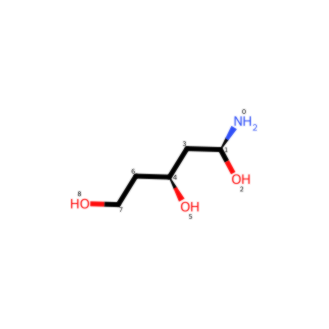 N[C@@H](O)C[C@@H](O)CCO